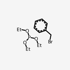 BrCc1ccccc1.CCOP(OCC)OCC